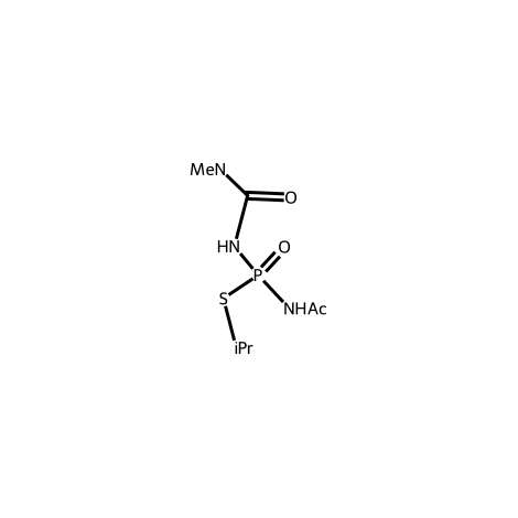 CNC(=O)NP(=O)(NC(C)=O)SC(C)C